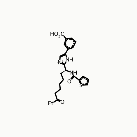 CCC(=O)CCCCC[C@H](NC(=O)c1cccs1)C1=[N+]C=C(c2cccc(C(=O)O)c2)N1